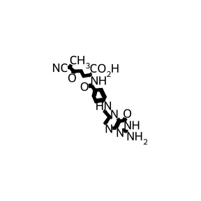 CC(C#N)C(=O)CC[C@H](NC(=O)c1ccc(NCc2cnc3nc(N)[nH]c(=O)c3n2)cc1)C(=O)O